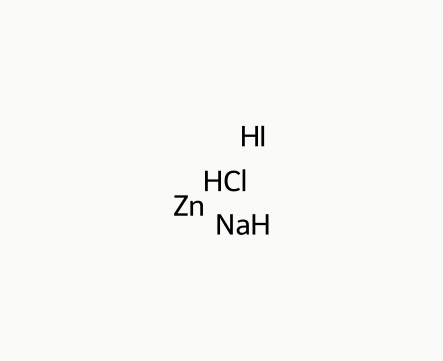 Cl.I.[NaH].[Zn]